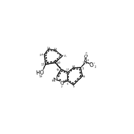 O=[N+]([O-])c1ccc2onc(-c3ccccc3O)c2c1